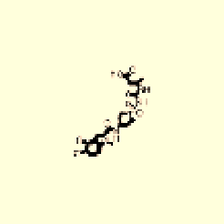 CC(CC(=O)O)NC(=O)NS(=O)(=O)N1CCC(NC(=O)c2cc3c(Cl)c(Cl)ccc3n2C)CC1